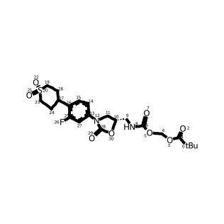 CC(C)(C)C(=O)OCOC(=O)NC[C@H]1CN(c2ccc(C3CCS(=O)(=O)CC3)c(F)c2)C(=O)O1